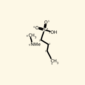 CCCCS(=O)(=O)O.CNC